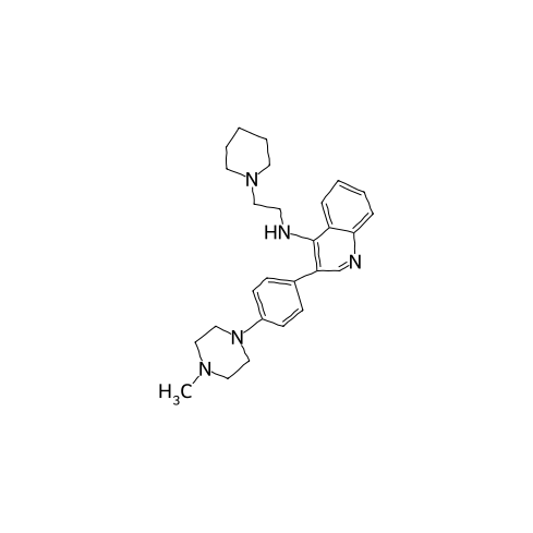 CN1CCN(c2ccc(-c3cnc4ccccc4c3NCCN3CCCCC3)cc2)CC1